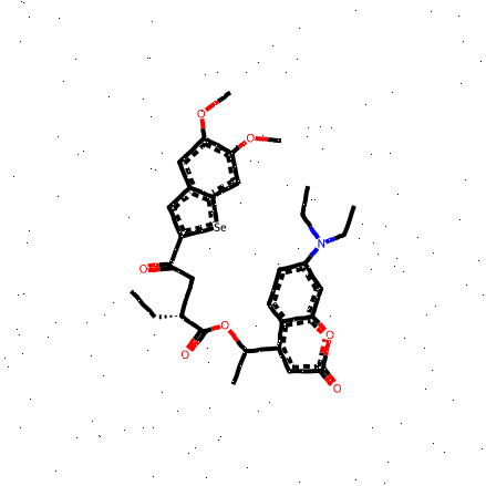 CC[C@H](CC(=O)c1cc2cc(OC)c(OC)cc2[se]1)C(=O)OC(C)c1cc(=O)oc2cc(N(CC)CC)ccc12